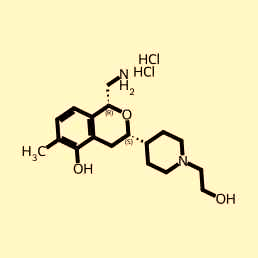 Cc1ccc2c(c1O)C[C@@H](C1CCN(CCO)CC1)O[C@H]2CN.Cl.Cl